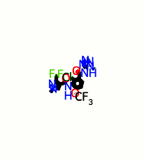 Cn1cc(C(=O)Nc2c(OC(F)(F)F)ccc(C(=O)Nc3nnnn3C)c2Cl)c(C(F)F)n1